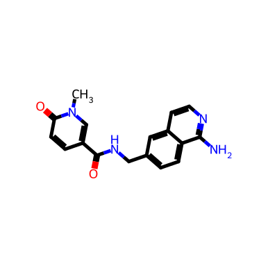 Cn1cc(C(=O)NCc2ccc3c(N)nccc3c2)ccc1=O